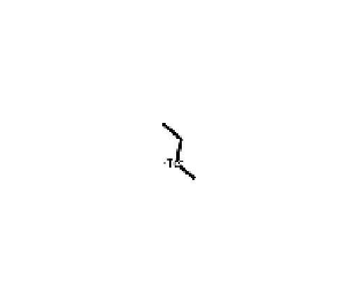 CC[Te+]C